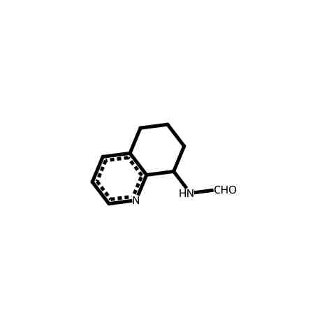 O=CNC1CCCc2cccnc21